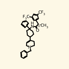 C[C@H](C(=O)NC1(c2ccccc2)CCC(C2=CCN(Cc3ccccc3)CC2)CC1)c1cc(C(F)(F)F)cc(C(F)(F)F)c1